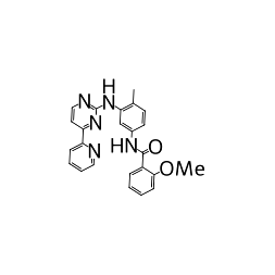 COc1ccccc1C(=O)Nc1ccc(C)c(Nc2nccc(-c3ccccn3)n2)c1